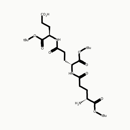 CC(C)(C)OC(=O)[C@H](N)CCC(=O)N[C@H](CCC(=O)N[C@H](CCC(=O)O)C(=O)OC(C)(C)C)C(=O)OC(C)(C)C